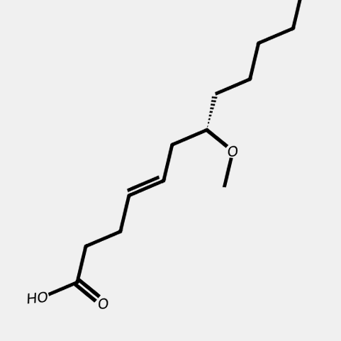 CCCCC[C@@H](CC=CCCC(=O)O)OC